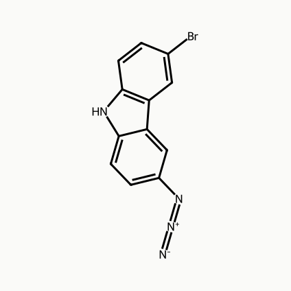 [N-]=[N+]=Nc1ccc2[nH]c3ccc(Br)cc3c2c1